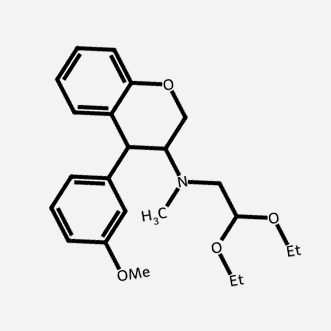 CCOC(CN(C)C1COc2ccccc2C1c1cccc(OC)c1)OCC